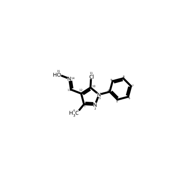 Cc1nn(-c2ccccc2)c(Cl)c1C=NO